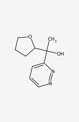 CC(O)(c1cccnn1)C1CCCO1